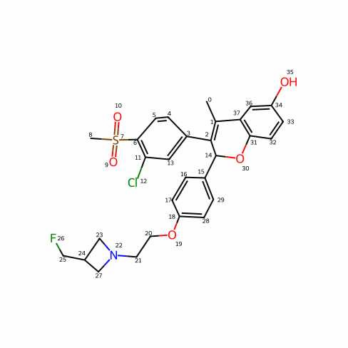 CC1=C(c2ccc(S(C)(=O)=O)c(Cl)c2)C(c2ccc(OCCN3CC(CF)C3)cc2)Oc2ccc(O)cc21